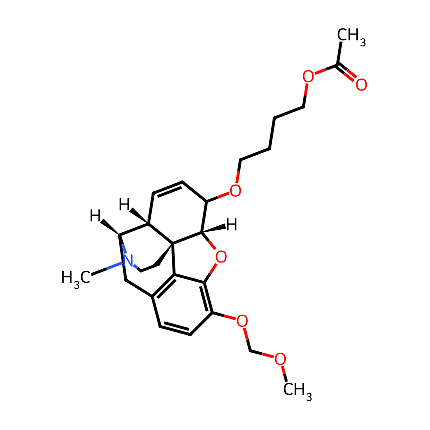 COCOc1ccc2c3c1O[C@H]1C(OCCCCOC(C)=O)C=C[C@H]4[C@@H](C2)N(C)CC[C@]314